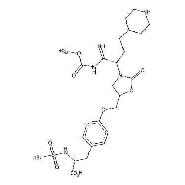 CCCCS(=O)(=O)NC(Cc1ccc(OCC2CN(C(CCC3CCNCC3)C(=N)NC(=O)OC(C)(C)C)C(=O)O2)cc1)C(=O)O